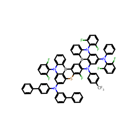 Fc1cccc(F)c1N(c1ccccc1)c1cc2c3c(c1)N(c1c(F)cccc1F)c1ccccc1B3c1cc3c(c(F)c1N2c1ccc(C(F)(F)F)cc1)Sc1cc(N(c2ccc(-c4ccccc4)cc2)c2cccc(-c4ccccc4)c2)cc2c1B3c1ccccc1N2c1c(F)cccc1F